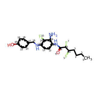 CCCCC(F)C(F)C(=O)Nc1ccc(NCc2ccc(O)cc2)c(F)c1N